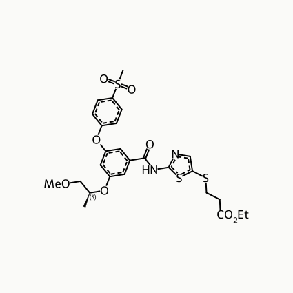 CCOC(=O)CCSc1cnc(NC(=O)c2cc(Oc3ccc(S(C)(=O)=O)cc3)cc(O[C@@H](C)COC)c2)s1